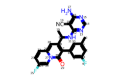 Cc1cc(F)cc(-c2c(C(C)Nc3ncnc(N)c3C#N)cc3ccc(F)cn3c2=O)c1